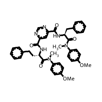 COc1ccc(N(C)C(=O)[C@H](CCc2ccccc2)NC(=O)c2cc(C(=O)N[C@@H](Cc3ccccc3)C(=O)N(C)c3ccc(OC)cc3)ncn2)cc1